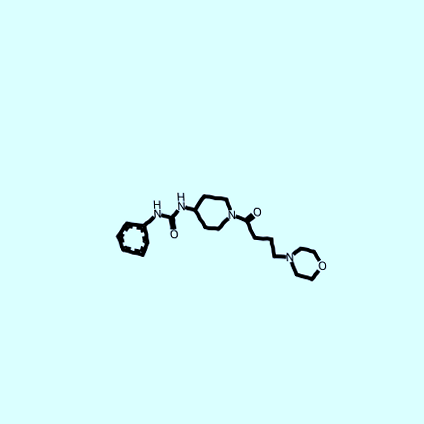 O=C(Nc1ccccc1)NC1CCN(C(=O)CCCN2CCOCC2)CC1